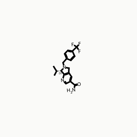 CC(C)[C@H]1c2ncc(C(N)=O)cc2CN1Cc1ccc(C(F)(F)F)cc1